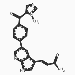 Cn1cncc1C(=O)c1ccc(-c2cnc3[nH]cc(C=CC(N)=O)c3c2)cc1